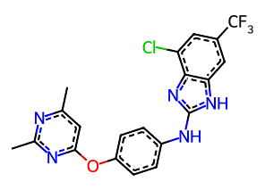 Cc1cc(Oc2ccc(Nc3nc4c(Cl)cc(C(F)(F)F)cc4[nH]3)cc2)nc(C)n1